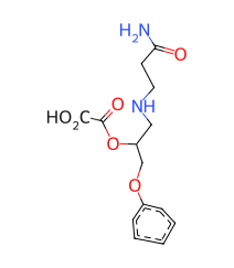 NC(=O)CCNCC(COc1ccccc1)OC(=O)C(=O)O